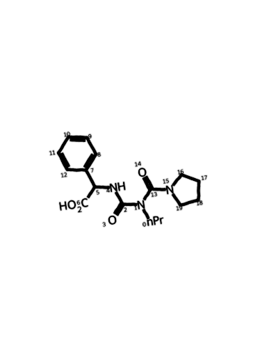 CCCN(C(=O)NC(C(=O)O)c1ccccc1)C(=O)N1CCCC1